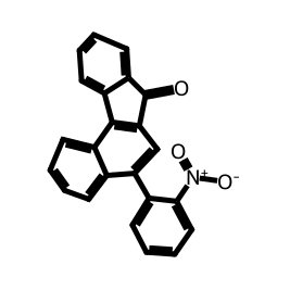 O=C1c2ccccc2-c2c1cc(-c1ccccc1[N+](=O)[O-])c1ccccc21